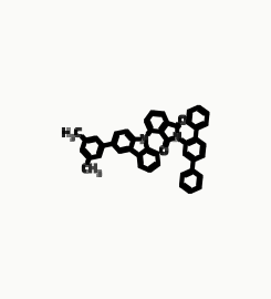 Cc1cc(C)cc(-c2ccc3c(c2)c2ccccc2n3-c2cccc3c2C(=O)N(c2cc(-c4ccccc4)ccc2-c2ccccc2)C3=O)c1